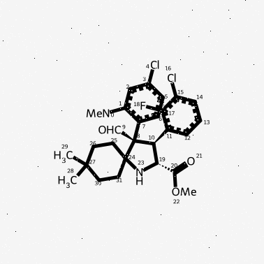 CNc1cc(Cl)ccc1[C@]1(C=O)[C@@H](c2cccc(Cl)c2F)[C@H](C(=O)OC)NC12CCC(C)(C)CC2